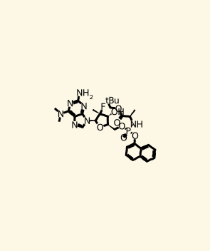 C[C@@H](N[P@](=O)(OC[C@H]1O[C@@H](n2cnc3c(N(C)C)nc(N)nc32)[C@](C)(F)[C@@H]1O)Oc1cccc2ccccc12)C(=O)OCC(C)(C)C